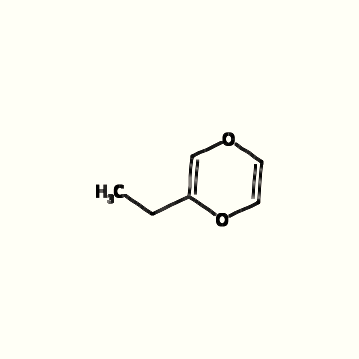 CCC1=COC=CO1